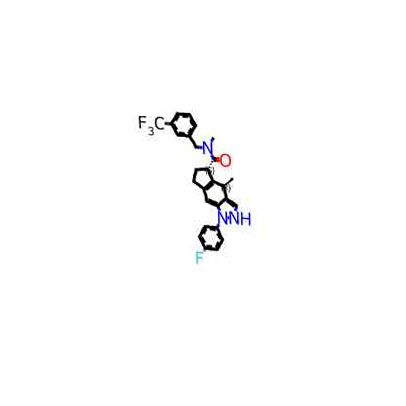 C[C@H]1C2=CNN(c3ccc(F)cc3)C2=CC2=C1[C@@H](C(=O)N(C)Cc1cccc(C(F)(F)F)c1)CC2